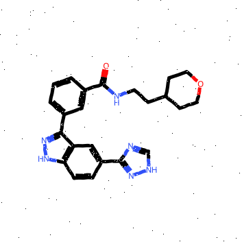 O=C(NCCC1CCOCC1)c1cccc(-c2n[nH]c3ccc(-c4nc[nH]n4)cc23)c1